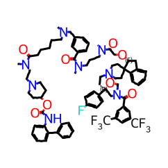 CN(CCCCCC(=O)N(C)CCN1CCC(OC(=O)Nc2ccccc2-c2ccccc2)CC1)Cc1cccc(C(=O)N(C)CCCN(C)C(=O)CO[C@H]2Cc3ccccc3C23CCN(CC[C@@]2(c4ccc(F)cc4)CN(C(=O)c4cc(C(F)(F)F)cc(C(F)(F)F)c4)CO2)CC3)c1